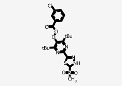 CC(C)(C)c1nc(C2=NNC(S(C)(=O)=O)S2)nc(C(C)(C)C)c1OOC(=O)c1cccc(Cl)c1